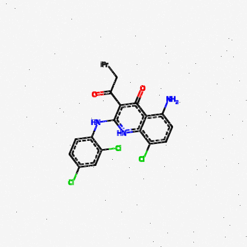 CC(C)CC(=O)c1c(Nc2ccc(Cl)cc2Cl)[nH]c2c(Cl)ccc(N)c2c1=O